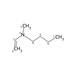 C=CN(C)CCCC